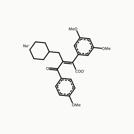 COc1ccc(C(=O)C(CC2CCCCC2)=C(C(=O)[O-])c2cc(OC)cc(OC)c2)cc1.[Na+]